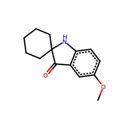 COc1ccc2c(c1)C(=O)C1(CCCCC1)N2